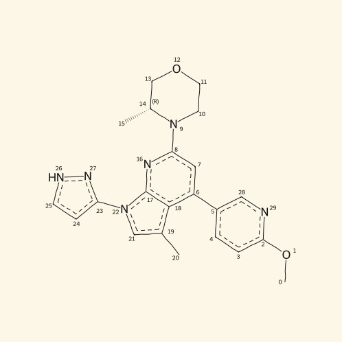 COc1ccc(-c2cc(N3CCOC[C@H]3C)nc3c2c(C)cn3-c2cc[nH]n2)cn1